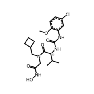 COc1ccc(Cl)cc1NC(=O)N[C@H](C(=O)N(CC(=O)NO)CC1CCC1)C(C)C